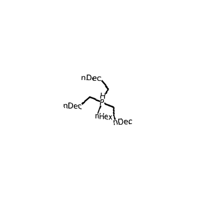 CCCCCCCCCCC[PH](CCCCCC)(CCCCCCCCCCC)CCCCCCCCCCC